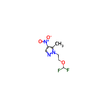 Cc1c([N+](=O)[O-])cnn1CCOC(F)F